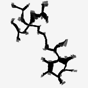 CCC(=O)O[Si](CCCOC(=O)c1c(F)c(F)c(F)c(F)c1F)(OC(=O)CC)OC(=O)CC